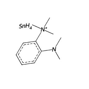 CN(C)c1ccccc1[N+](C)(C)C.[SnH4]